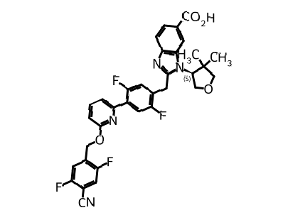 CC1(C)COC[C@H]1n1c(Cc2cc(F)c(-c3cccc(OCc4cc(F)c(C#N)cc4F)n3)cc2F)nc2ccc(C(=O)O)cc21